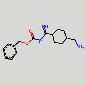 N=C(NC(=O)OCc1ccccc1)C1CCC(CN)CC1